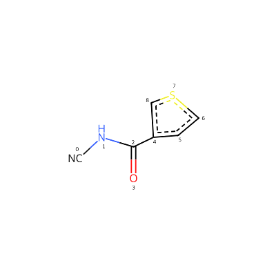 N#CNC(=O)c1ccsc1